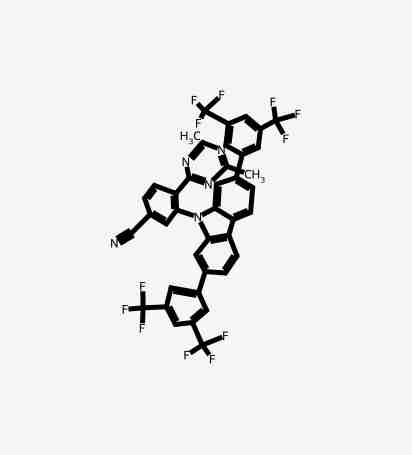 Cc1nc(C)nc(-c2ccc(C#N)cc2-n2c3cc(-c4cc(C(F)(F)F)cc(C(F)(F)F)c4)ccc3c3ccc(-c4cc(C(F)(F)F)cc(C(F)(F)F)c4)cc32)n1